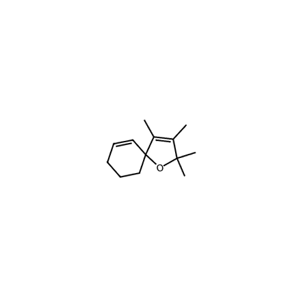 CC1=C(C)C2(C=CCCC2)OC1(C)C